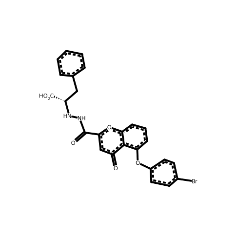 O=C(NN[C@@H](Cc1ccccc1)C(=O)O)c1cc(=O)c2c(Oc3ccc(Br)cc3)cccc2o1